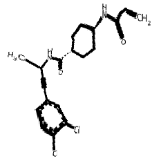 C=CC(=O)N[C@H]1CC[C@H](C(=O)NC(C)C#Cc2ccc(Cl)c(Cl)c2)CC1